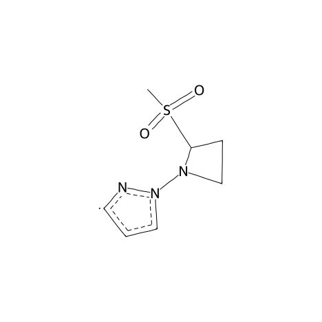 CS(=O)(=O)C1CCN1n1cc[c]n1